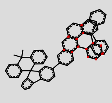 CC1(C)c2ccccc2C2(c3ccccc3-c3ccc(-c4ccc(N(c5ccccc5-c5ccccc5-c5ccccc5-c5ccccc5)c5cccc6c7ccccc7n(-c7ccccc7)c56)cc4)cc32)c2ccccc21